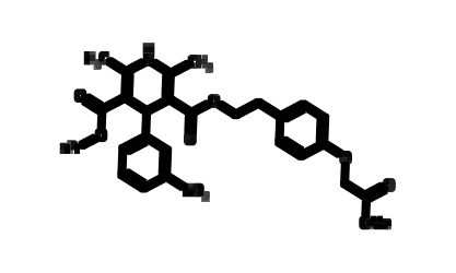 CCCOC(=O)C1=C(C)NC(C)=C(C(=O)OCCc2ccc(OCC(=O)OC)cc2)C1c1cccc([N+](=O)[O-])c1